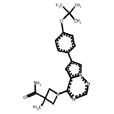 CC(C)(C)Oc1ccc(-c2cc3c(N4CC(C)(C(N)=O)C4)ncnn3c2)cc1